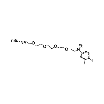 CCCCNCCOCCOCCOCCOCCN(CC)c1ccc(I)c(C)c1